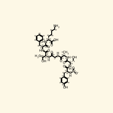 C[C@H](NC(=O)[C@H](CO)NC(=O)[C@H](Cc1ccc(O)cc1)N[N+](=O)[O-])C(=O)NCC(=O)N[C@H](C(=O)N[C@@H](Cc1ccccc1)C(=O)N[C@@H](CCCCN)C(=O)O)[C@@H](C)O